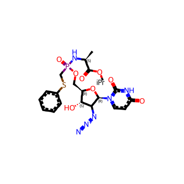 CC(C)OC(=O)[C@H](C)NP(=O)(CSc1ccccc1)OC[C@H]1O[C@@H](n2ccc(=O)[nH]c2=O)C(N=[N+]=[N-])[C@@H]1O